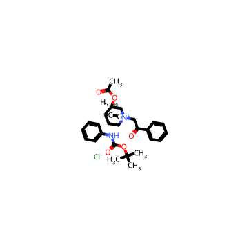 CC(=O)O[C@H]1C[N+]2(CC(=O)c3ccccc3)CCC1CC2.CC(C)(C)OC(=O)Nc1ccccc1.[Cl-]